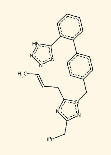 CC=CCc1nc(CC(C)C)nn1Cc1ccc(-c2ccccc2-c2nnn[nH]2)cc1